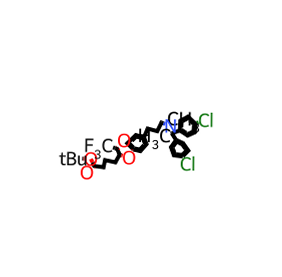 CN(CCCc1ccc(OC(CCCC(=O)OC(C)(C)C)C(=O)C(F)(F)F)cc1)C(C)(c1ccc(Cl)cc1)c1ccc(Cl)cc1